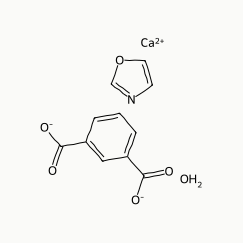 O.O=C([O-])c1cccc(C(=O)[O-])c1.[Ca+2].c1cocn1